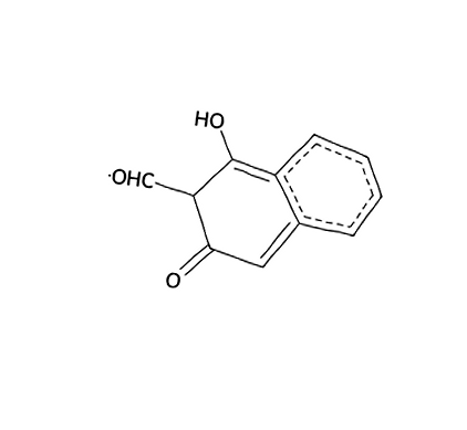 O=[C]C1C(=O)C=c2ccccc2=C1O